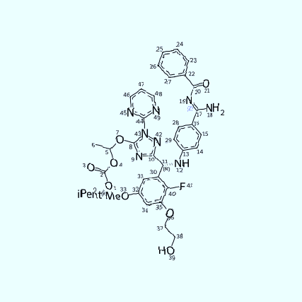 CCC[C@@H](C)OC(=O)OC(C)Oc1nc([C@H](Nc2ccc(/C(N)=N/C(=O)c3ccccc3)cc2)c2cc(OC)cc(OCCO)c2F)nn1-c1ncccn1